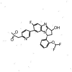 CS(=O)(=O)Cc1ccc(-c2cc3c(cc2F)nc2n3[C@H](c3ccccc3OC(F)F)CC2O)cn1